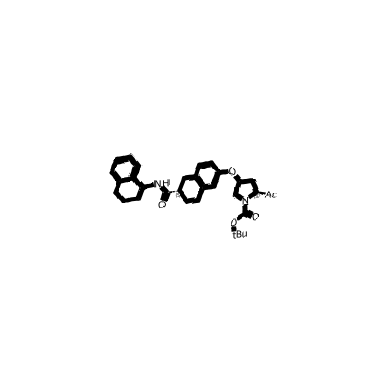 CC(=O)[C@@H]1CC(Oc2ccc3c(c2)CC[C@H](C(=O)NC2CCCc4ccccc42)C3)CN1C(=O)OC(C)(C)C